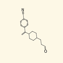 C=C(c1ccc(C#N)cc1)C1CCC(CCC=O)CC1